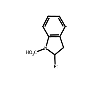 CCC1Cc2[c]cccc2N1C(=O)O